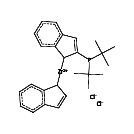 CC(C)(C)P(C1=Cc2ccccc2[CH]1[Zr+2][CH]1C=Cc2ccccc21)C(C)(C)C.[Cl-].[Cl-]